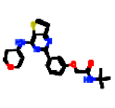 CC(C)(C)NC(=O)COc1cccc(-c2nc(NC3CCOCC3)c3sccc3n2)c1